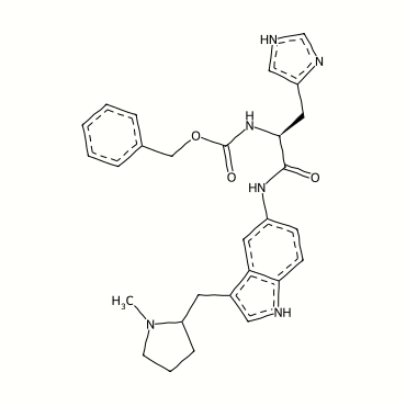 CN1CCCC1Cc1c[nH]c2ccc(NC(=O)[C@H](Cc3c[nH]cn3)NC(=O)OCc3ccccc3)cc12